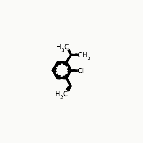 C=[C]c1cccc(C(C)C)c1Cl